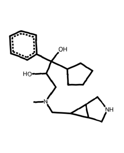 CN(CC1C2CNCC21)CC(O)C(O)(c1ccccc1)C1CCCC1